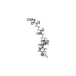 COC(=O)C(=O)CCCC(=O)NCCCS(=O)(=O)NNc1ccc([N+](=O)[O-])cn1